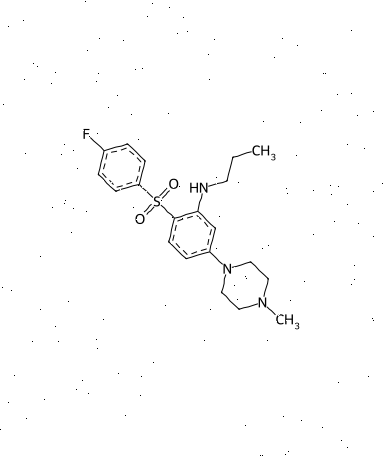 CCCNc1cc(N2CCN(C)CC2)ccc1S(=O)(=O)c1ccc(F)cc1